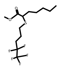 CCCCCC(SCCCC(F)(F)C(F)(F)F)C(=O)OC